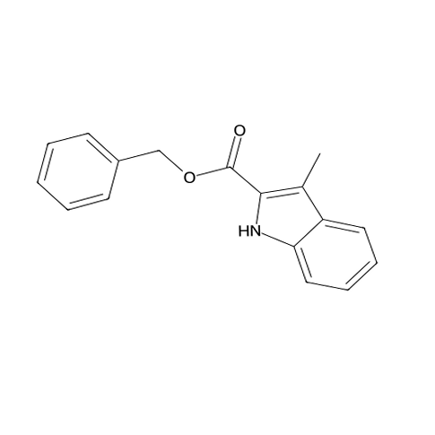 Cc1c(C(=O)OCc2ccccc2)[nH]c2ccccc12